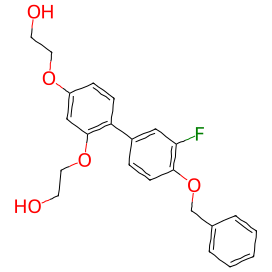 OCCOc1ccc(-c2ccc(OCc3ccccc3)c(F)c2)c(OCCO)c1